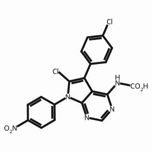 O=C(O)Nc1ncnc2c1c(-c1ccc(Cl)cc1)c(Cl)n2-c1ccc([N+](=O)[O-])cc1